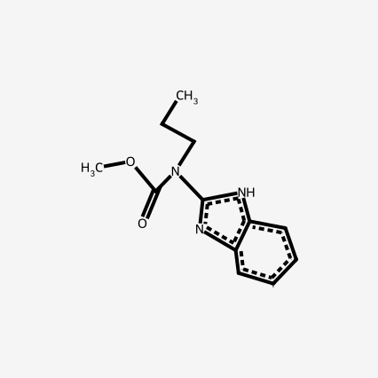 CCCN(C(=O)OC)c1nc2c[c]ccc2[nH]1